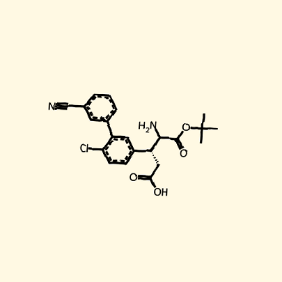 CC(C)(C)OC(=O)C(N)[C@H](CC(=O)O)c1ccc(Cl)c(-c2cccc(C#N)c2)c1